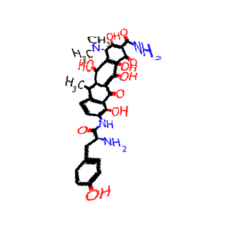 CC1c2ccc(NC(=O)[C@@H](N)Cc3ccc(O)cc3)c(O)c2C(=O)C2=C(O)C3(O)C(=O)C(C(N)=O)=C(O)[C@@H](N(C)C)C3C(O)C21